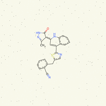 CC1=NNC(=O)/C1=C1/C=C(c2ncc(Cc3ccccc3C#N)s2)c2ccccc2N1